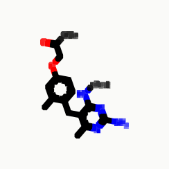 CCCCCNc1nc(N)nc(C)c1Cc1ccc(OCC(=O)OC)cc1C